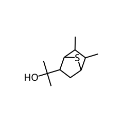 CC1C2CC(C(C)(C)O)C(S2)C1C